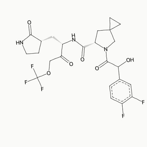 O=C1NCC[C@H]1C[C@H](NC(=O)[C@@H]1CC2(CC2)CN1C(=O)C(O)c1ccc(F)c(F)c1)C(=O)COC(F)(F)F